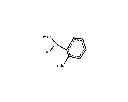 CCCCCCP(CC)c1ccccc1CCCC